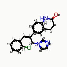 O=C1CCc2cc(C(=Cc3ccccc3Cl)Cn3ccnc3)ccc2N1